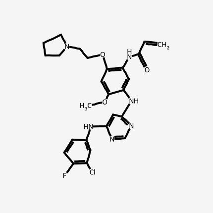 C=CC(=O)Nc1cc(Nc2cc(Nc3ccc(F)c(Cl)c3)ncn2)c(OC)cc1OCCN1CCCC1